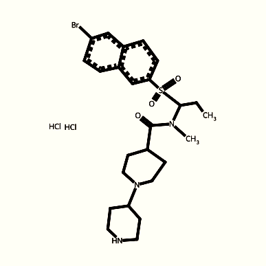 CCC(N(C)C(=O)C1CCN(C2CCNCC2)CC1)S(=O)(=O)c1ccc2cc(Br)ccc2c1.Cl.Cl